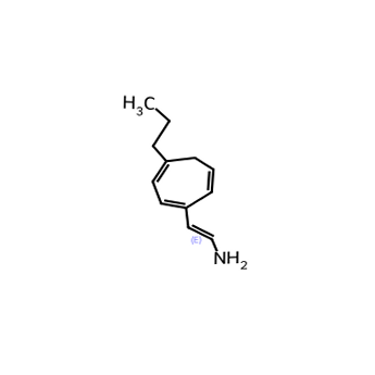 CCCC1=CC=C(/C=C/N)C=CC1